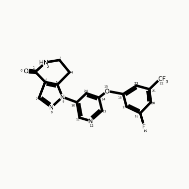 O=C1NCCc2c1cnn2-c1cncc(Oc2cc(F)cc(C(F)(F)F)c2)c1